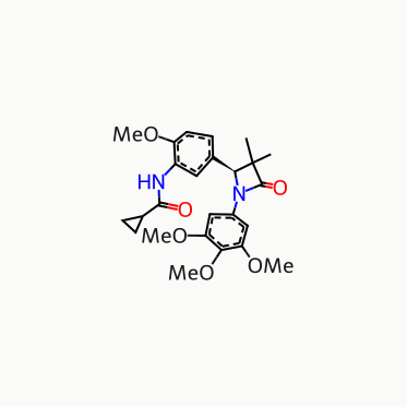 COc1ccc([C@@H]2N(c3cc(OC)c(OC)c(OC)c3)C(=O)C2(C)C)cc1NC(=O)C1CC1